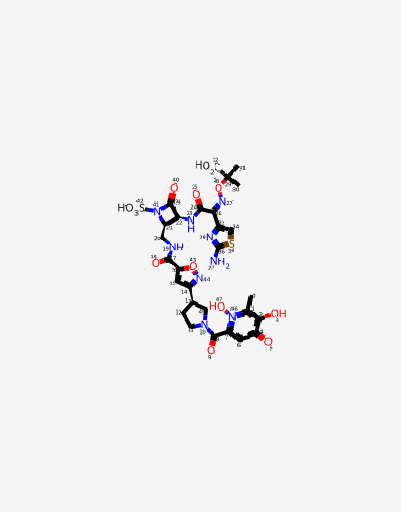 Cc1c(O)c(=O)cc(C(=O)N2CC[C@@H](c3cc(C(=O)NC[C@@H]4[C@H](NC(=O)/C(=N\OC(C)(C)C(=O)O)c5csc(N)n5)C(=O)N4S(=O)(=O)O)on3)C2)n1O